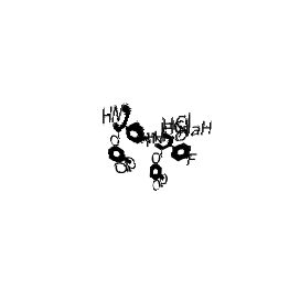 Cl.Cl.Fc1ccc([C@@H]2CCNC[C@H]2COc2ccc3c(c2)OCO3)cc1.Fc1ccc([C@@H]2CCNC[C@H]2COc2ccc3c(c2)OCO3)cc1.O.[NaH]